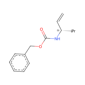 C=C[C@@H](NC(=O)OCc1ccccc1)C(C)C